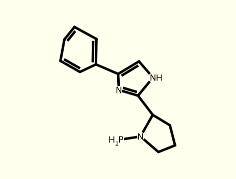 PN1CCCC1c1nc(-c2ccccc2)c[nH]1